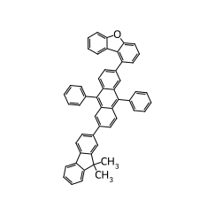 CC1(C)c2ccccc2-c2ccc(-c3ccc4c(-c5ccccc5)c5cc(-c6cccc7oc8ccccc8c67)ccc5c(-c5ccccc5)c4c3)cc21